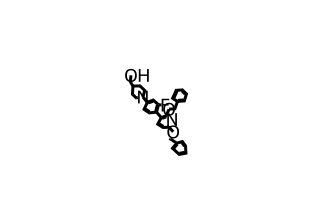 OCC1CCN(c2ccc(-c3ccc(OCc4ccccc4)nc3OCc3ccccc3)c(F)c2)CC1